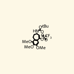 COc1cc2c(c(OC)c1OC)CC[C@@H](NC(=O)OC(C)(C)C)C=C2OS(=O)(=O)C(F)(F)F